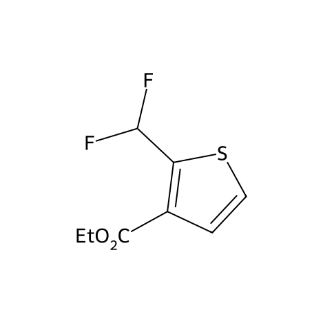 CCOC(=O)c1ccsc1C(F)F